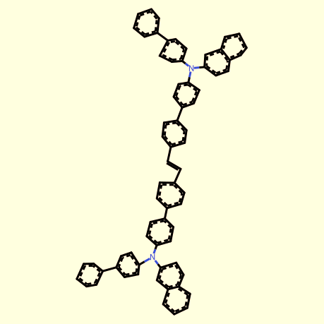 C(=C\c1ccc(-c2ccc(N(c3ccc(-c4ccccc4)cc3)c3ccc4ccccc4c3)cc2)cc1)/c1ccc(-c2ccc(N(c3ccc(-c4ccccc4)cc3)c3ccc4ccccc4c3)cc2)cc1